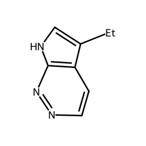 CCc1c[nH]c2nnccc12